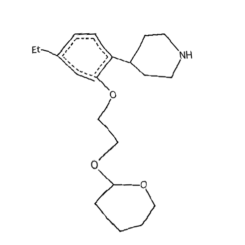 CCc1ccc(C2CCNCC2)c(OCCOC2CCCCO2)c1